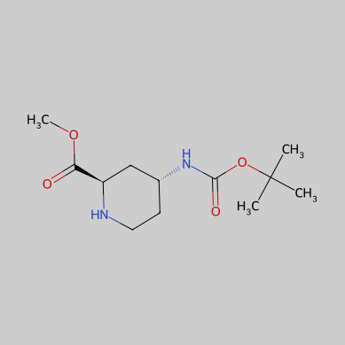 COC(=O)[C@H]1C[C@H](NC(=O)OC(C)(C)C)CCN1